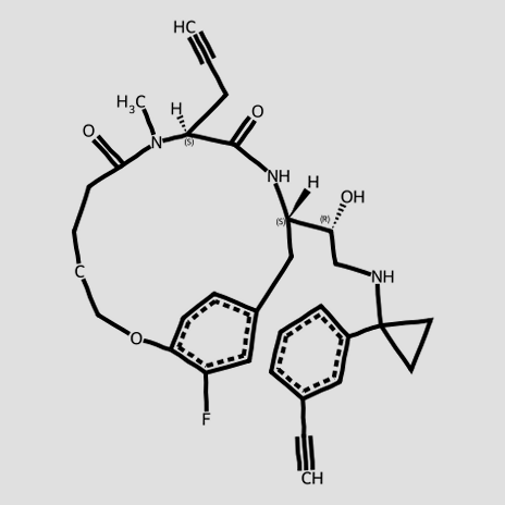 C#CC[C@H]1C(=O)N[C@H]([C@H](O)CNC2(c3cccc(C#C)c3)CC2)Cc2ccc(c(F)c2)OCCCCC(=O)N1C